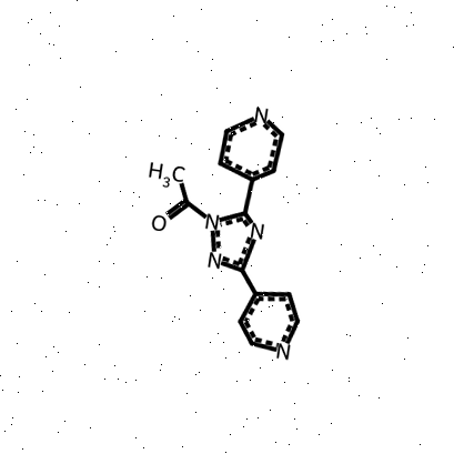 CC(=O)n1nc(-c2ccncc2)nc1-c1ccncc1